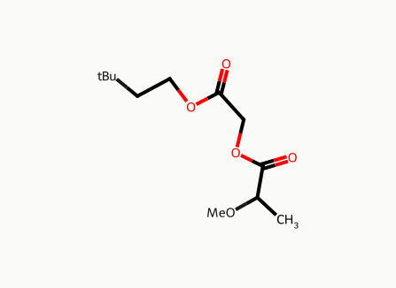 COC(C)C(=O)OCC(=O)OCCC(C)(C)C